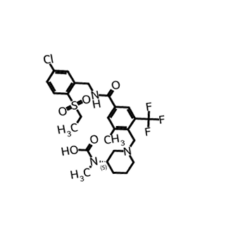 CCS(=O)(=O)c1ccc(Cl)cc1CNC(=O)c1cc(C)c(CN2CCC[C@H](N(C)C(=O)O)C2)c(C(F)(F)F)c1